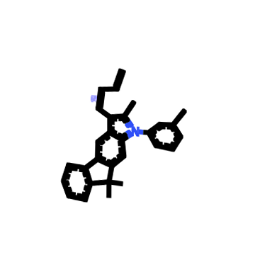 C=C/C=C\c1c(C)n(-c2cccc(C)c2)c2cc3c(cc12)-c1ccccc1C3(C)C